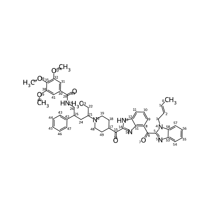 CC=CCn1c(C(=O)c2cccc3[nH]c(C(=O)C4CCN(C(CC)CC(CNC(=O)c5cc(OC)c(OC)c(OC)c5)c5ccccc5)CC4)nc23)nc2ccccc21